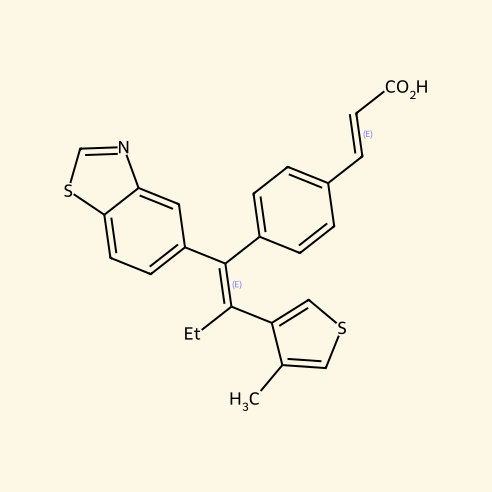 CC/C(=C(/c1ccc(/C=C/C(=O)O)cc1)c1ccc2scnc2c1)c1cscc1C